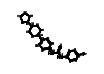 O=C(Nc1ccc(F)cc1)Nc1ccc(N2CCN(C3CCCC3)CC2)nc1